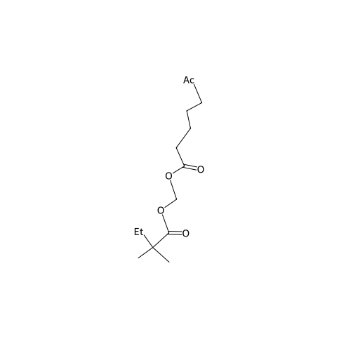 CCC(C)(C)C(=O)OCOC(=O)CCCCC(C)=O